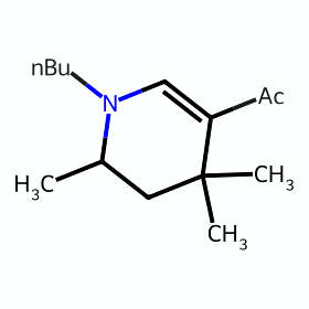 CCCCN1C=C(C(C)=O)C(C)(C)CC1C